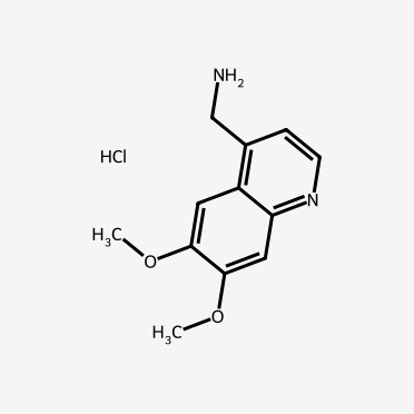 COc1cc2nccc(CN)c2cc1OC.Cl